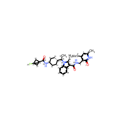 CSc1cc(C)[nH]c(=O)c1CNC(=O)c1c(C)n([C@H](C)[C@H]2CC[C@H](NC(=O)C34CC(F)(C3)C4)CC2)c2ccccc12